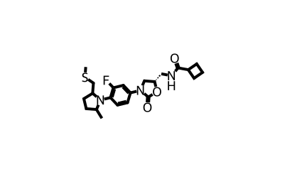 CSCC1CCC(C)N1c1ccc(N2C[C@H](CNC(=O)C3CCC3)OC2=O)cc1F